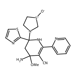 COC1(N)CC(c2nccs2)(N2CC[S+]([O-])C2)NC(c2ccccn2)=C1C#N